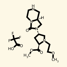 COCCN1C[C@@H](N2C[C@@H]3CNCCN3C2=O)C[C@@H]1C(=O)OC.O=C(O)C(F)(F)F